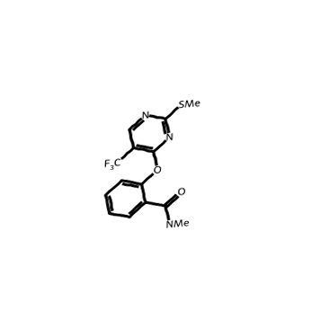 CNC(=O)c1ccccc1Oc1nc(SC)ncc1C(F)(F)F